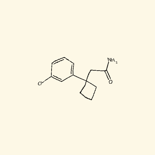 NC(=O)CC1(c2cccc(Cl)c2)CCC1